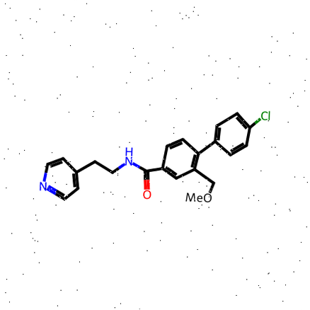 COCc1cc(C(=O)NCCc2ccncc2)ccc1-c1ccc(Cl)cc1